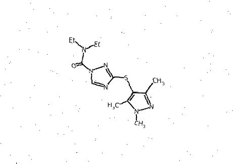 CCN(CC)C(=O)n1cnc(Sc2c(C)nn(C)c2C)n1